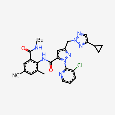 Cc1cc(C#N)cc(C(=O)NC(C)(C)C)c1NC(=O)c1cc(Cn2ncc(C3CC3)n2)nn1-c1ncccc1Cl